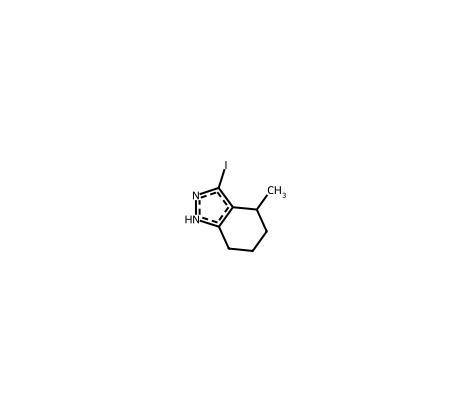 CC1CCCc2[nH]nc(I)c21